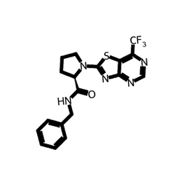 O=C(NCc1ccccc1)[C@H]1CCCN1c1nc2ncnc(C(F)(F)F)c2s1